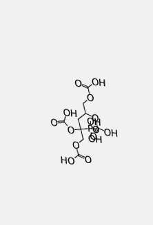 O=C(O)OCC(CC(COC(=O)O)(OC(=O)O)P(=O)(O)O)OC(=O)O